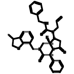 C=CCN(C(=O)NCc1ccccc1)N1CC(=O)N2[C@@H](c3ccccc3)C(=O)N(Cc3cccc4c3OCC4C)C[C@@H]21